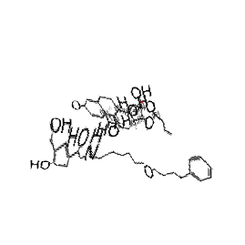 CCC[C@@H]1O[C@@H]2C[C@H]3[C@@H]4CCC5=CC(=O)C=C[C@]5(C)[C@H]4[C@@H](O)C[C@]3(C)[C@]2(C(=O)CO)O1.OCc1cc(C(O)CNCCCCCCOCCCCc2ccccc2)ccc1O